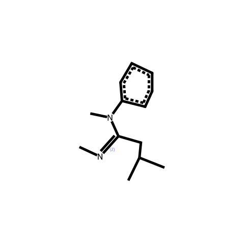 C/N=C(/CC(C)C)N(C)c1ccccc1